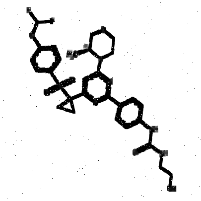 C[C@H]1COCCN1c1cc(C2(S(=O)(=O)c3ccc(OC(F)F)cc3)CC2)nc(-c2ccc(NC(=O)NCCO)cc2)n1